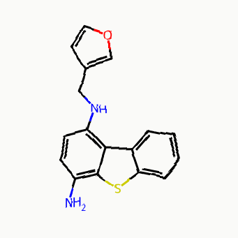 Nc1ccc(NCc2ccoc2)c2c1sc1ccccc12